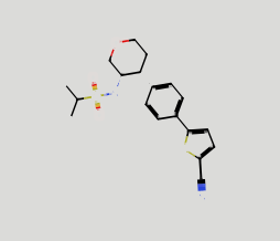 CC(C)S(=O)(=O)N[C@H]1COCC[C@@H]1c1ccc(-c2ccc(C#N)s2)cc1